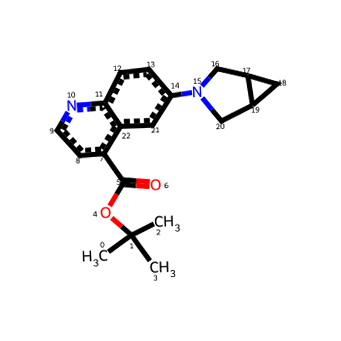 CC(C)(C)OC(=O)c1ccnc2ccc(N3CC4CC4C3)cc12